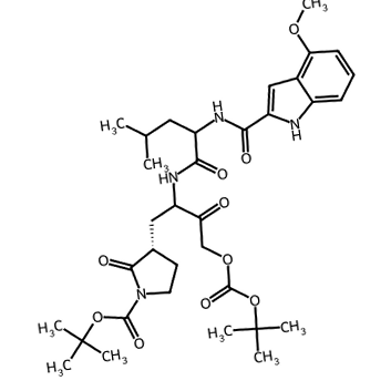 COc1cccc2[nH]c(C(=O)NC(CC(C)C)C(=O)NC(C[C@@H]3CCN(C(=O)OC(C)(C)C)C3=O)C(=O)COC(=O)OC(C)(C)C)cc12